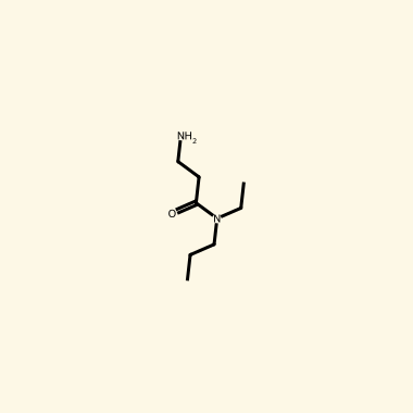 CCCN(CC)C(=O)CCN